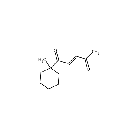 CC(=O)C=CC(=O)C1(C)CCCCC1